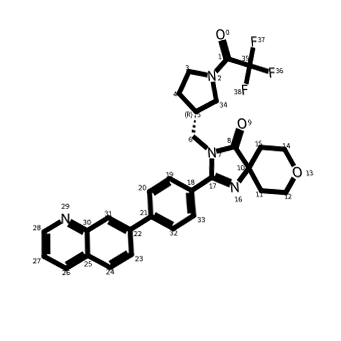 O=C(N1CC[C@@H](CN2C(=O)C3(CCOCC3)N=C2c2ccc(-c3ccc4cccnc4c3)cc2)C1)C(F)(F)F